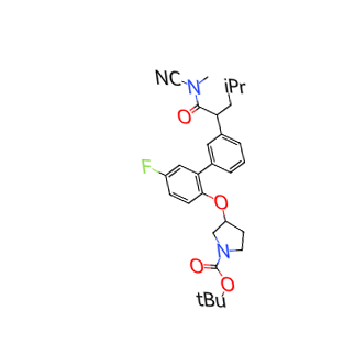 CC(C)CC(C(=O)N(C)C#N)c1cccc(-c2cc(F)ccc2OC2CCN(C(=O)OC(C)(C)C)C2)c1